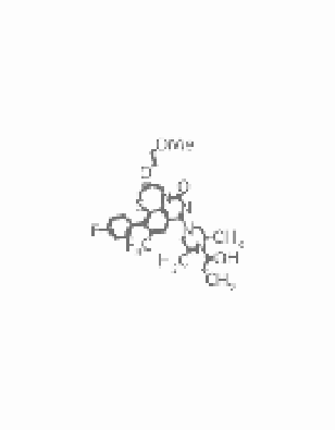 C=CC(O)N1[C@H](C)CN(c2nc(=O)n3c4c(c(-c5ccc(F)cc5)c(C(F)(F)F)cc24)SC[C@H](OCCOC)C3)C[C@@H]1C